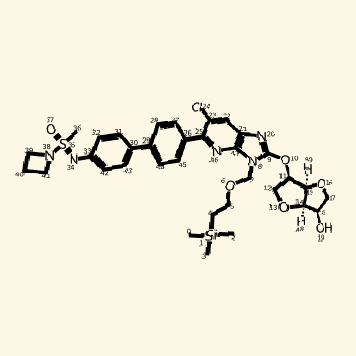 C[Si](C)(C)CCOCn1c(O[C@@H]2CO[C@H]3[C@@H]2OC[C@H]3O)nc2cc(Cl)c(-c3ccc(-c4ccc(N=S(C)(=O)N5CCC5)cc4)cc3)nc21